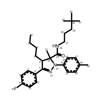 CCCCC1C(c2ccc(F)cc2)=NN(c2ccc(C)cc2)C1(C)C(=O)NCCCC(C)(C)C